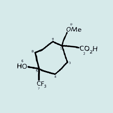 COC1(C(=O)O)CCC(O)(C(F)(F)F)CC1